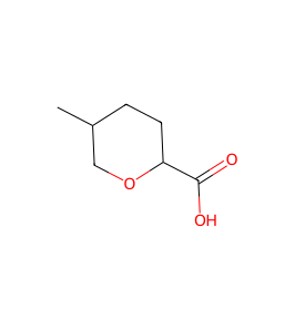 CC1CCC(C(=O)O)OC1